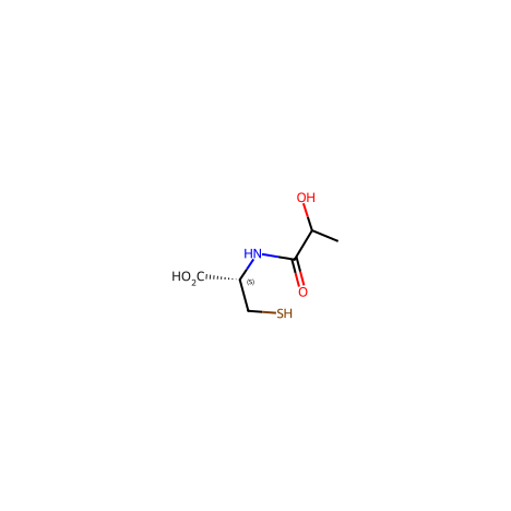 CC(O)C(=O)N[C@H](CS)C(=O)O